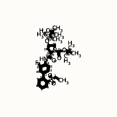 CCS(=O)(=O)c1ccccc1-c1ccc(NC(=O)[C@H]2C[C@@H](O[Si](C)(C)C(C)(C)C)CN2C(=O)OC(C)(C)C)c(F)c1